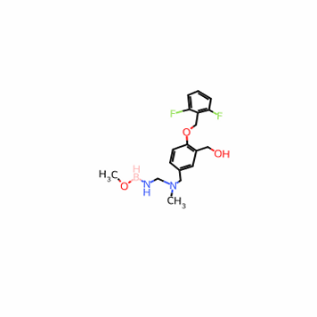 COBNCN(C)Cc1ccc(OCc2c(F)cccc2F)c(CO)c1